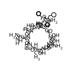 CC[C@H](C)[C@@H]1NC(=O)[C@@H](CCCNC(=N)N)NC(=O)[C@H](CC(C)C)NC(=O)[C@H]([C@H](O)C(C)C)NC(=O)[C@@H](NC(=O)[C@H](CCc2ccccc2)NC(=O)[C@@H](N)CC2CCCCC2)[C@@H](c2ccccc2)OC(=O)[C@H](CO)NC(=O)[C@H]([C@H](O)C(N)=O)NC(=O)CNC(=O)[C@H]([C@H](C)O)NC1=O